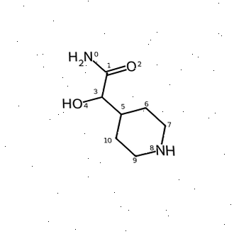 NC(=O)C(O)C1CCNCC1